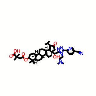 CC(C)C1=C2[C@H]3CC[C@@H]4[C@@]5(C)CC[C@H](OC(=O)CC(C)(C)C(=O)O)C(C)(C)[C@@H]5CC[C@@]4(C)[C@]3(C)CC[C@@]2([C@H](O)c2nnc(-c3ccc(C#N)cn3)n2CCN(C)C)CC1=O